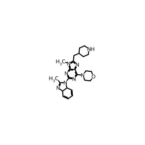 CC1=NC2C=CC=CC2N1c1nc(N2CCOCC2)c2nc(CC3CCNCC3)n(C)c2n1